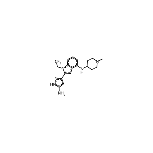 CN1CCC(Nc2cccc3c2cc(-c2cc(N)[nH]n2)n3CC(F)(F)F)CC1